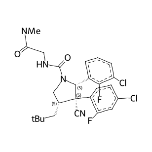 CNC(=O)CNC(=O)N1C[C@@H](CC(C)(C)C)[C@](C#N)(c2ccc(Cl)cc2F)[C@H]1c1cccc(Cl)c1F